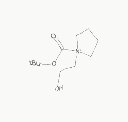 CC(C)(C)OC(=O)[N+]1(CCO)CCCC1